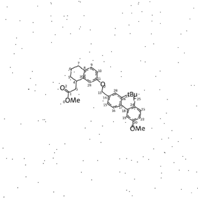 COC(=O)CC1CCCc2ccc(OCc3ccc(-c4cc(OC)ccc4F)c(C(C)(C)C)c3)cc21